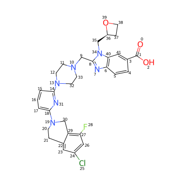 O=C(O)c1ccc2nc(CN3CCN(c4cccc(N5CCc6cc(Cl)cc(F)c6C5)n4)CC3)n(C[C@@H]3CCO3)c2c1